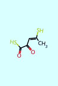 C/C(S)=C\C(=O)C(=O)S